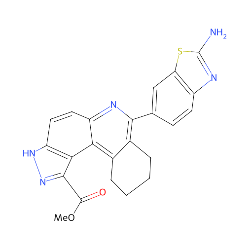 COC(=O)c1n[nH]c2ccc3nc(-c4ccc5nc(N)sc5c4)c4c(c3c12)CCCC4